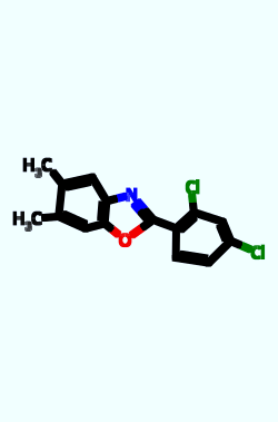 Cc1cc2nc(-c3ccc(Cl)cc3Cl)oc2cc1C